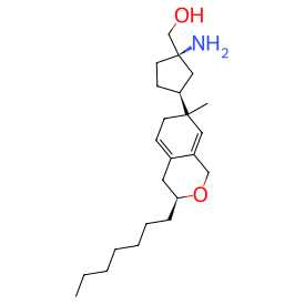 CCCCCCC[C@H]1CC2=CCC(C)([C@H]3CC[C@](N)(CO)C3)C=C2CO1